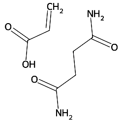 C=CC(=O)O.NC(=O)CCC(N)=O